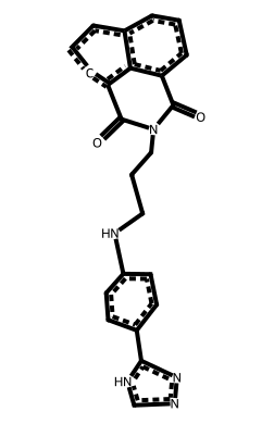 O=C1c2cccc3cccc(c23)C(=O)N1CCCNc1ccc(-c2nnc[nH]2)cc1